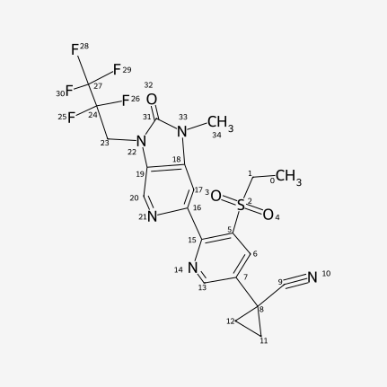 CCS(=O)(=O)c1cc(C2(C#N)CC2)cnc1-c1cc2c(cn1)n(CC(F)(F)C(F)(F)F)c(=O)n2C